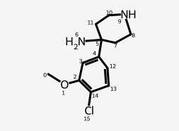 COc1cc(C2(N)CCNCC2)ccc1Cl